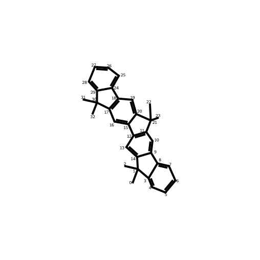 CC1(C)c2ccccc2-c2cc3c(cc21)-c1cc2c(cc1C3(C)C)-c1ccccc1C2(C)C